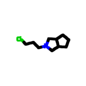 ClCCCN1CC2CCCC2C1